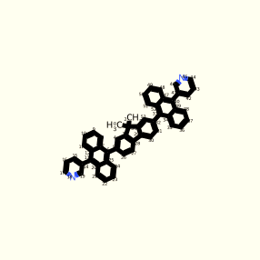 CC1(C)c2cc(-c3c4ccccc4c(-c4cccnc4)c4ccccc34)ccc2-c2ccc(-c3c4ccccc4c(-c4cccnc4)c4ccccc34)cc21